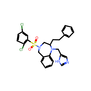 O=S(=O)(c1cc(Cl)ccc1Cl)N1Cc2ccccc2N(Cc2cnc[nH]2)C(CCc2ccccc2)C1